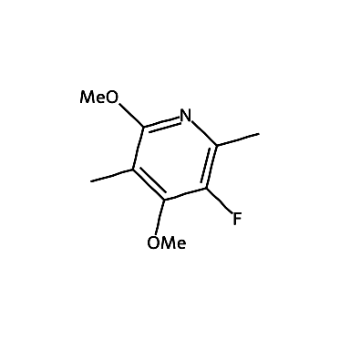 COc1nc(C)c(F)c(OC)c1C